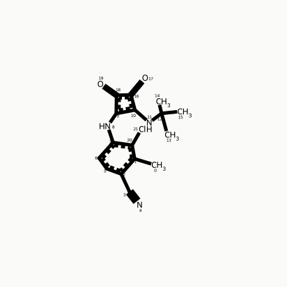 Cc1c(C#N)ccc(Nc2c(NC(C)(C)C)c(=O)c2=O)c1Cl